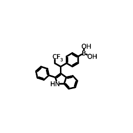 OB(O)c1ccc(C(CC(F)(F)F)c2c(-c3ccccc3)[nH]c3ccccc23)cc1